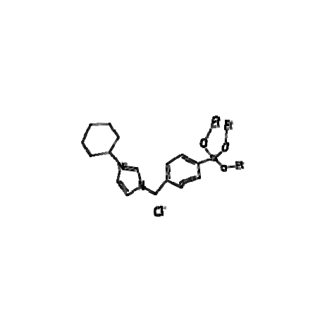 CCO[Si](OCC)(OCC)c1ccc(Cn2cc[n+](C3CCCCC3)c2)cc1.[Cl-]